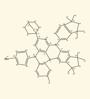 Cc1ccc2c(c1)B1c3cc4c(cc3N(c3ccc5c(c3)C(C)(C)CC5(C)C)c3nc(C56CCC(CC5)CC6)cc(c31)N2c1ccc(C(C)(C)C)cc1)C(C)(C)CC4(C)C